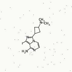 CN(C)C1CC(c2nc(I)c3c(N)nccn23)C1